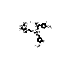 C=C1OC(COP(=O)(COCCn2cnc3c(=O)[nH]c(N)nc32)OCc2ccc(OC)c(F)c2)=C(c2ccc(C)c(F)c2)O1